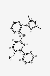 Cc1cc(C)n(-c2ncccc2Nc2ncc(C#N)c(-c3ccccc3)n2)n1